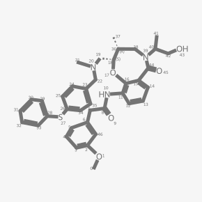 COc1cccc(CC(=O)Nc2cccc3c2O[C@H](CN(C)Cc2ccc(Sc4ccccc4)cc2)[C@H](C)CN(C(C)CO)C3=O)c1